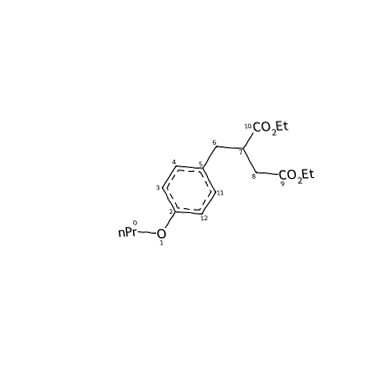 CCCOc1ccc(CC(CC(=O)OCC)C(=O)OCC)cc1